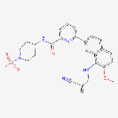 C=C(C#N)CNc1c(OC)ccc2ccc(-c3cccc(C(=O)NC4CCN(S(C)(=O)=O)CC4)n3)cc12